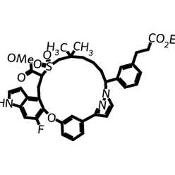 CCOC(=O)CCc1cccc(C2CCCC(C)(C)CS(=O)(=O)C(C(=O)OC)Cc3c(c(F)cc4[nH]ccc34)Oc3cccc(c3)-c3ccn2n3)c1